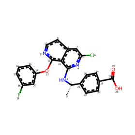 C[C@H](Nc1nc(Cl)cc2ccnc(Oc3cccc(F)c3)c12)c1ccc(C(=O)O)cc1